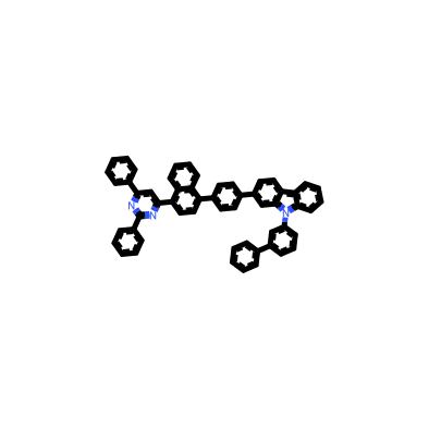 c1ccc(-c2cccc(-n3c4ccccc4c4ccc(-c5ccc(-c6ccc(-c7cc(-c8ccccc8)nc(-c8ccccc8)n7)c7ccccc67)cc5)cc43)c2)cc1